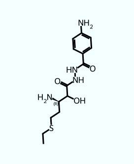 CCSCC[C@@H](N)C(O)C(=O)NNC(=O)c1ccc(N)cc1